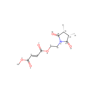 COC(=O)/C=C/C(=O)OCCN1C(=O)[C@@H](C)[C@@H](C)C1=O